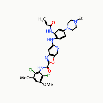 C=CC(=O)Nc1cc(N2CCN(CC)CC2)ccc1Nc1cc2nc(C(=O)Nc3c(Cl)c(OC)cc(OC)c3Cl)oc2cn1